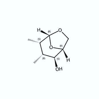 C[C@@H]1[C@@H]2OC[C@@H](O2)[C@@H](O)[C@@H]1C